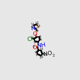 O=C(Nc1ccc(OCc2nccs2)c(Cl)c1)c1cccc([N+](=O)[O-])c1